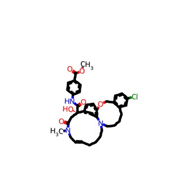 COC(=O)c1ccc(NC(=O)[C@]2(O)CC(=O)N(C)C/C=C/CCCCN3CCCCc4cc(Cl)ccc4COc4ccc2cc43)cc1